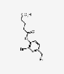 O=C(O)CCCC(=O)Oc1ccc(CBr)cc1Br